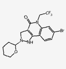 O=c1c2c(c3ccc(Br)cc3n1CC(F)(F)F)NN(C1CCCCO1)C2